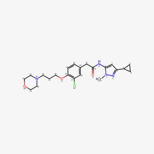 Cn1nc(C2CC2)cc1NC(=O)Cc1ccc(OCCCN2CCOCC2)c(Cl)c1